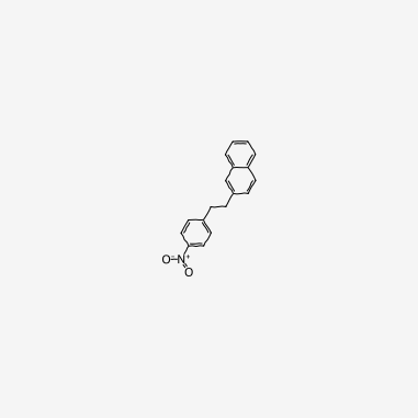 O=[N+]([O-])c1ccc(CCc2ccc3ccccc3c2)cc1